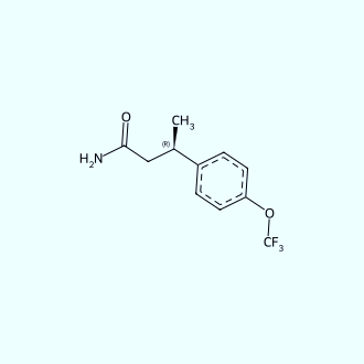 C[C@H](CC(N)=O)c1ccc(OC(F)(F)F)cc1